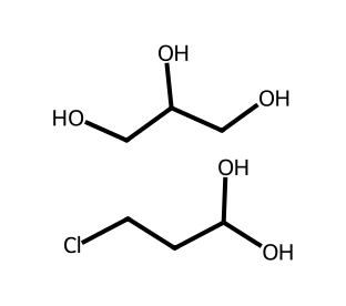 OC(O)CCCl.OCC(O)CO